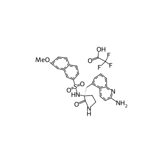 COc1ccc2ccc(S(=O)(=O)N[C@@]3(Cc4cccc5nc(N)ccc45)CCNC3=O)cc2c1.O=C(O)C(F)(F)F